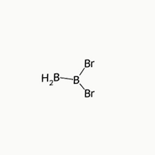 BB(Br)Br